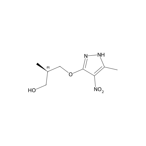 Cc1[nH]nc(OC[C@H](C)CO)c1[N+](=O)[O-]